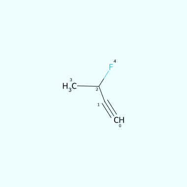 C#CC(C)F